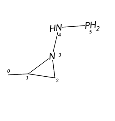 CC1CN1NP